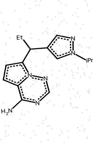 CCC(c1cnn(C(C)C)c1)c1ccc2c(N)ncnn12